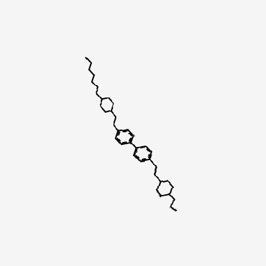 CCCCCCCC1CCC(CCc2ccc(-c3ccc(CCC4CCC(CCC)CC4)cc3)cc2)CC1